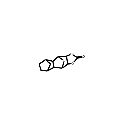 O=C1OC2C(O1)C1OC2C2C3CCC(C3)C12